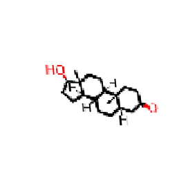 C[C@@]12CC[C@@H]3[C@H](CC[C@H]4CC(=O)CC[C@]43C)[C@H]1CC[C@H]2O